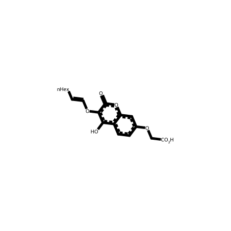 CCCCCCC=COc1c(O)c2ccc(OCC(=O)O)cc2oc1=O